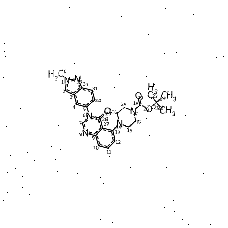 Cn1cc2cc(-n3cnc4cccc(N5CCN(C(=O)OC(C)(C)C)CC5)c4c3=O)ccc2n1